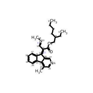 CCCCC(CC)COC(=O)C(/C=N/C)=C1/c2ccccc2-c2c(C)cncc21